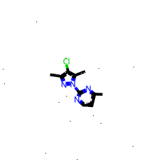 Cc1ccnc(-n2nc(C)c(Cl)c2C)n1